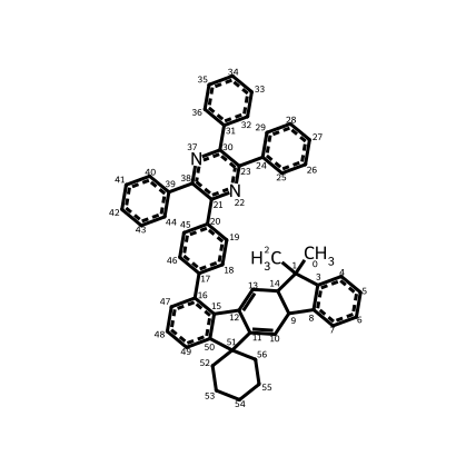 CC1(C)c2ccccc2C2C=C3C(=CC21)c1c(-c2ccc(-c4nc(-c5ccccc5)c(-c5ccccc5)nc4-c4ccccc4)cc2)cccc1C31CCCCC1